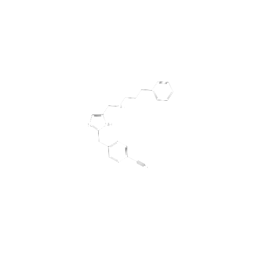 N#Cc1ccc(Cc2ncc(CNCCCc3ccccc3)[nH]2)cc1